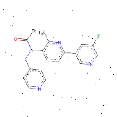 CCC(=O)N(Cc1ccncc1)c1ccc(-c2cncc(F)c2)nc1C(F)(F)F